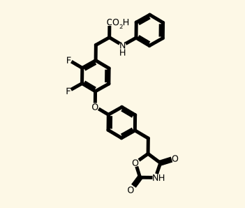 O=C1NC(=O)C(Cc2ccc(Oc3ccc(CC(Nc4ccccc4)C(=O)O)c(F)c3F)cc2)O1